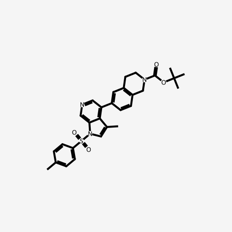 Cc1ccc(S(=O)(=O)n2cc(C)c3c(-c4ccc5c(c4)CCN(C(=O)OC(C)(C)C)C5)cncc32)cc1